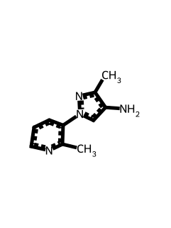 Cc1nn(-c2cccnc2C)cc1N